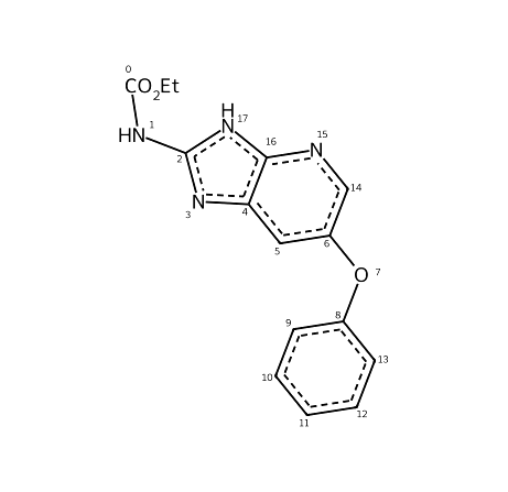 CCOC(=O)Nc1nc2cc(Oc3ccccc3)cnc2[nH]1